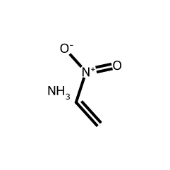 C=C[N+](=O)[O-].N